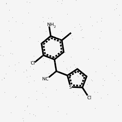 Cc1cc(C(C#N)c2ccc(Cl)s2)c(Cl)cc1N